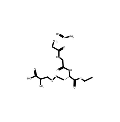 CCOC(=O)[C@H](CSSCC(N)C(=O)O)NC(=O)CNC(=O)CN.P=NP